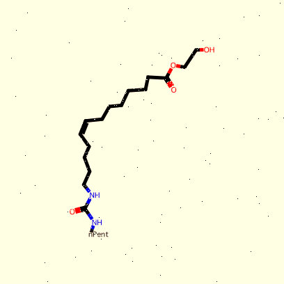 CCCCCNC(=O)NCCCC/C=C\CCCCCCC(=O)OCCO